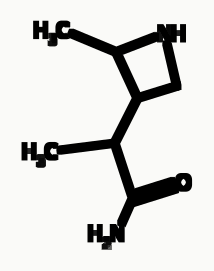 CC1NCC1C(C)C(N)=O